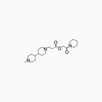 CN1CCC(C2CCN(CCC(=O)OCC(=O)N3CCCCC3)CC2)CC1